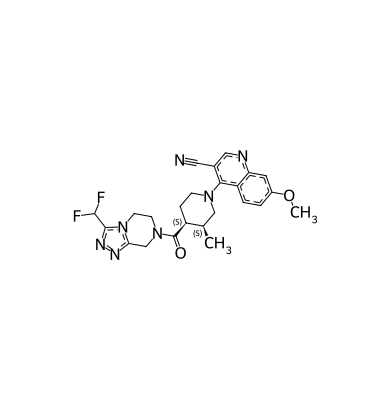 COc1ccc2c(N3CC[C@H](C(=O)N4CCn5c(nnc5C(F)F)C4)[C@H](C)C3)c(C#N)cnc2c1